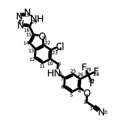 N#CCOc1ccc(NCc2ccc3cc(-c4nnn[nH]4)oc3c2Cl)cc1C(F)(F)F